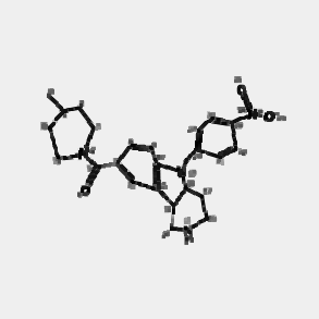 CC1CCN(C(=O)c2ccc3c(c2)C2CNCCC2N3c2ccc([N+](=O)[O-])cc2)CC1